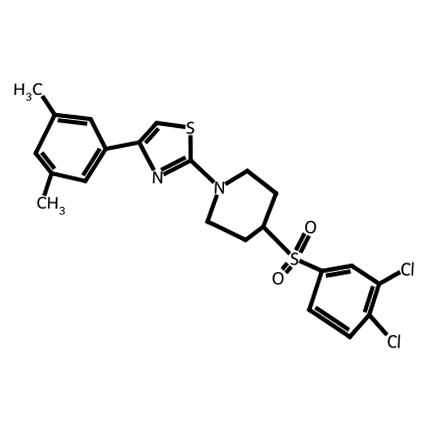 Cc1cc(C)cc(-c2csc(N3CCC(S(=O)(=O)c4ccc(Cl)c(Cl)c4)CC3)n2)c1